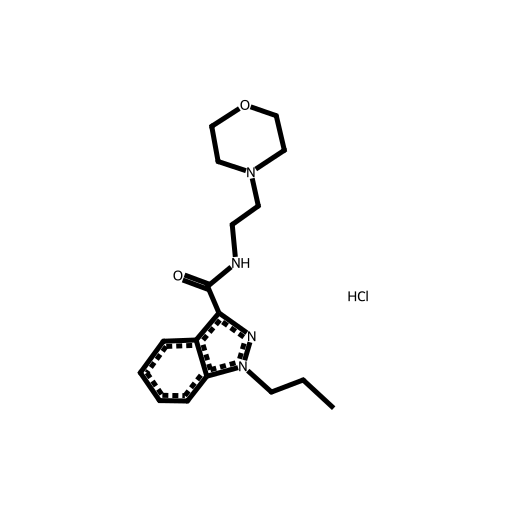 CCCn1nc(C(=O)NCCN2CCOCC2)c2ccccc21.Cl